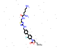 CC(=O)NC[C@H]1CN(c2ccc(-c3ccc(CNc4nsc(CNC(=O)[C@H](N)CCCCN)n4)cc3)c(F)c2)C(=O)O1